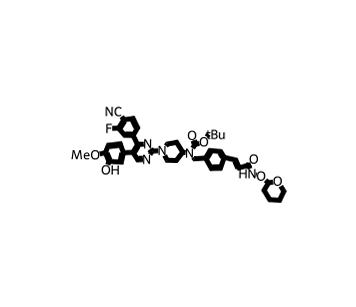 COc1ccc(-c2cnc(N3CCC(N(Cc4ccc(/C=C/C(=O)NOC5CCCCO5)cc4)C(=O)OC(C)(C)C)CC3)nc2-c2ccc(C#N)c(F)c2)cc1O